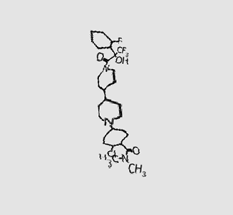 CN(C)C(=O)C1CCC(N2CCC(C3CCN(C(=O)C(O)(C4CCCCC4F)C(F)(F)F)CC3)CC2)CCC1Cl